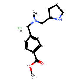 COC(=O)c1ccc(CN(C)CC2CCCN2)cc1.Cl